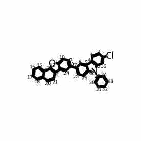 Clc1ccc2c3cc(-c4ccc5oc6c7ccccc7ccc6c5c4)ccc3n(-c3ccccc3)c2c1